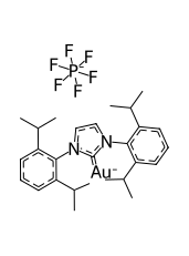 CC(C)c1cccc(C(C)C)c1-n1ccn(-c2c(C(C)C)cccc2C(C)C)[c]1=[Au-].F[P-](F)(F)(F)(F)F